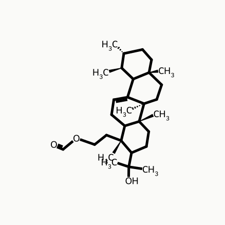 C[C@@H]1CC[C@]2(C)CC[C@]3(C)C(=CCC4[C@@](C)(CCOC=O)C(C(C)(C)O)CC[C@]43C)C2[C@H]1C